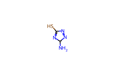 N[C]1N=NC(S)=N1